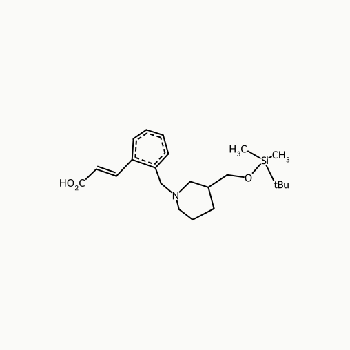 CC(C)(C)[Si](C)(C)OCC1CCCN(Cc2ccccc2/C=C/C(=O)O)C1